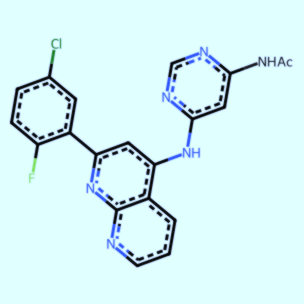 CC(=O)Nc1cc(Nc2cc(-c3cc(Cl)ccc3F)nc3ncccc23)ncn1